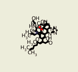 CC(C)=CCCC1(C)C=C2CC(=O)Oc3c2c(c(CC=C(C)C)c2c3C3=C4C(C5CC6C(C)(C)OC(C/C=C(/C)C(=O)NCCO)(C5=O)C46O2)n2ncnc2N3)O1